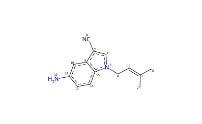 CC(C)=CCn1cc(C#N)c2cc(N)ccc21